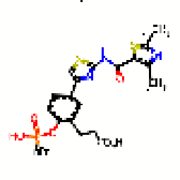 CCCP(=O)(O)Oc1ccc(-c2csc(NC(=O)c3sc(C)nc3C)n2)cc1CCC(=O)O